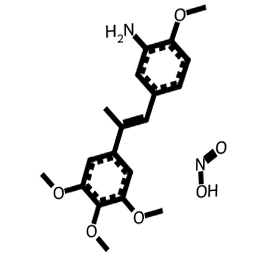 COc1ccc(/C=C(\C)c2cc(OC)c(OC)c(OC)c2)cc1N.O=NO